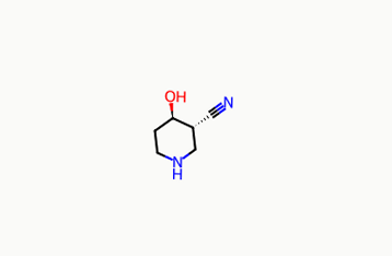 N#C[C@@H]1CNCC[C@H]1O